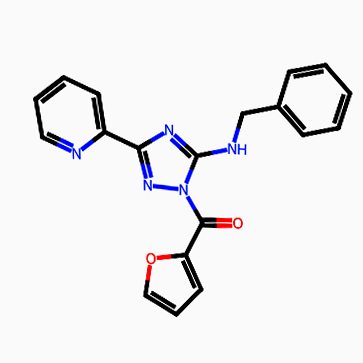 O=C(c1ccco1)n1nc(-c2ccccn2)nc1NCc1ccccc1